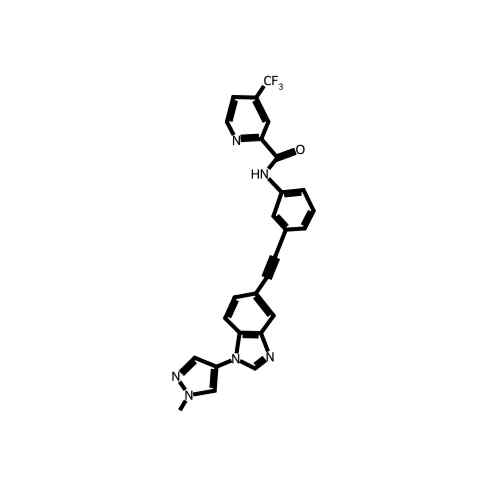 Cn1cc(-n2cnc3cc(C#Cc4cccc(NC(=O)c5cc(C(F)(F)F)ccn5)c4)ccc32)cn1